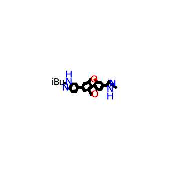 CCC(C)c1nc2ccc(-c3cc4c5c(c3)COc3cc(-c6cnc(C)[nH]6)cc(c3-5)OC4)cc2[nH]1